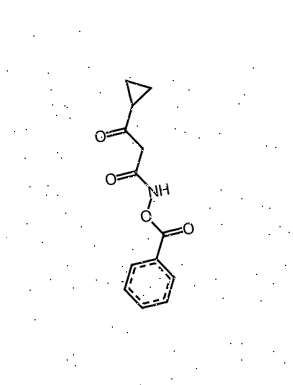 O=C(CC(=O)C1CC1)NOC(=O)c1ccccc1